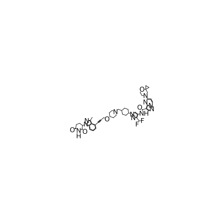 Cc1nn(C2CCC(=O)NC2=O)c2cccc(C#CCOC3CCN(CC4CCC(n5cc(NC(=O)c6cnn7ccc(N8CCOC9(CC9)C8)nc67)c(C(F)F)n5)CC4)CC3)c12